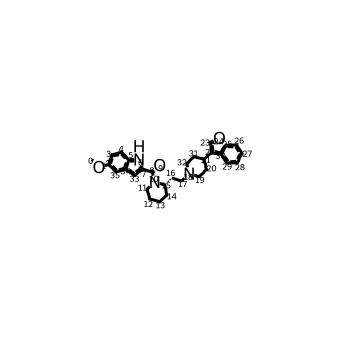 COc1ccc2[nH]c(C(=O)N3CCCC[C@H]3CCN3CCC(c4coc5ccccc45)CC3)cc2c1